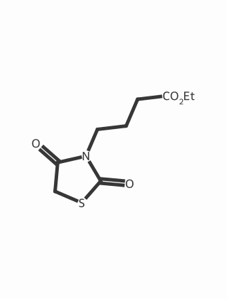 CCOC(=O)CCCN1C(=O)CSC1=O